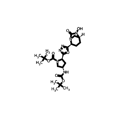 CC(C)(C)OC(=O)N[C@H]1C[C@H](c2nnc([C@@H]3CC[C@H]4CN3C(=O)N4O)o2)N(C(=O)OC(C)(C)C)C1